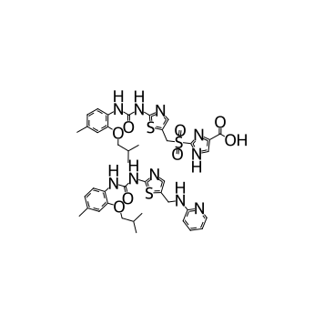 Cc1ccc(NC(=O)Nc2ncc(CNc3ccccn3)s2)c(OCC(C)C)c1.Cc1ccc(NC(=O)Nc2ncc(CS(=O)(=O)c3nc(C(=O)O)c[nH]3)s2)c(OCC(C)C)c1